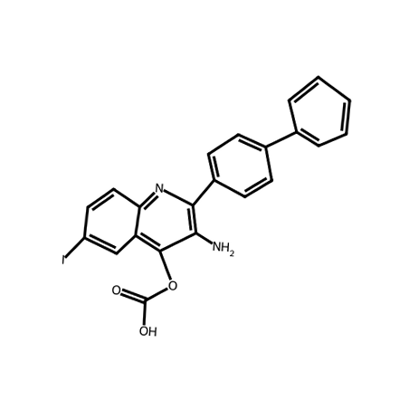 Nc1c(-c2ccc(-c3ccccc3)cc2)nc2ccc(I)cc2c1OC(=O)O